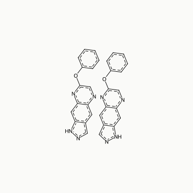 c1ccc(Oc2cnc3cc4[nH]ncc4cc3n2)cc1.c1ccc(Oc2cnc3cc4cn[nH]c4cc3n2)cc1